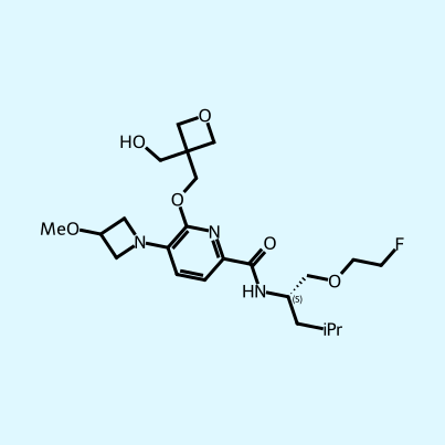 COC1CN(c2ccc(C(=O)N[C@H](COCCF)CC(C)C)nc2OCC2(CO)COC2)C1